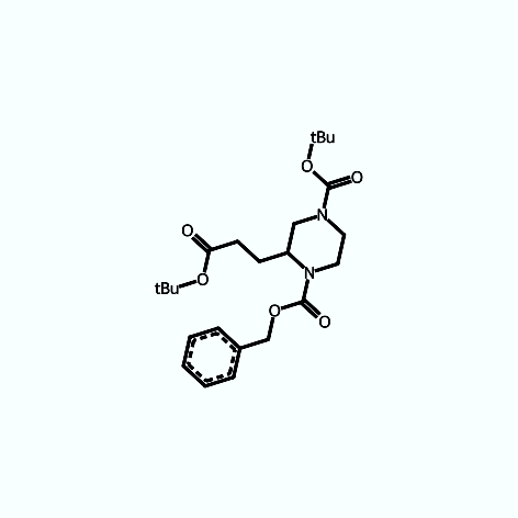 CC(C)(C)OC(=O)CCC1CN(C(=O)OC(C)(C)C)CCN1C(=O)OCc1ccccc1